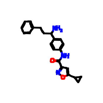 NC(CCc1ccccc1)c1ccc(NC(=O)c2cc(C3CC3)on2)cc1